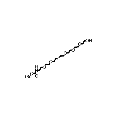 CC(C)(C)OC(=O)NCCOCCOCCOCCOCCOCCOCCO